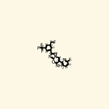 NC(=O)/C(=C\n1cnc(-c2cc(CF)cc(C(F)(F)F)c2)n1)c1cccc(F)n1